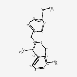 COc1ccc(C[N+]2=C(C)c3cccc(Br)c3CC2)cc1